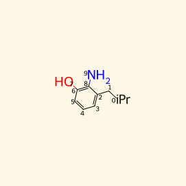 CC(C)Cc1cccc(O)c1N